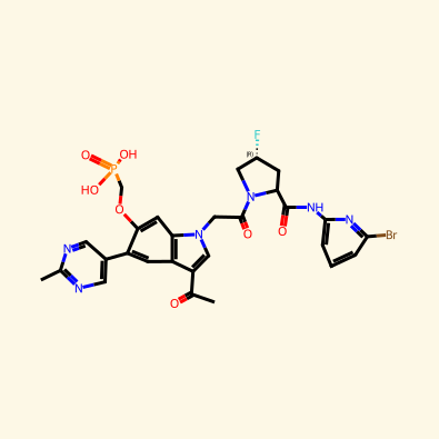 CC(=O)c1cn(CC(=O)N2C[C@H](F)CC2C(=O)Nc2cccc(Br)n2)c2cc(OCP(=O)(O)O)c(-c3cnc(C)nc3)cc12